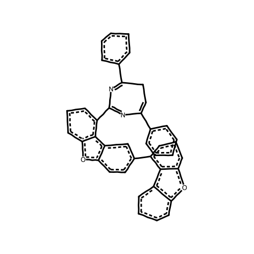 C1=C(c2ccccc2)N=C(c2cccc3oc4ccc(-c5cccc6oc7ccccc7c56)cc4c23)N=C(c2ccccc2)C1